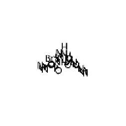 COc1cc(Nc2ncc(Br)c(Nc3ccc(-c4cnccn4)cc3P(C)(C)=O)n2)c(C)cc1N1CCC(N2CCN(C)CC2)CC1